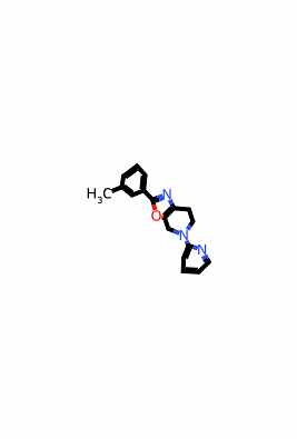 Cc1cccc(-c2nc3c(o2)CN(c2ccccn2)CC3)c1